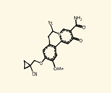 CCC1Cc2cc(OCC3(C#N)CC3)c(OC)cc2-c2cc(=O)c(C(N)=O)cn21